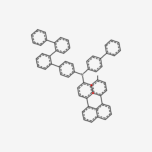 Cc1ccc(-c2cccc3cccc(-c4ccc(N(c5ccc(-c6ccccc6)cc5)c5ccc(-c6ccccc6-c6ccccc6-c6ccccc6)cc5)cc4)c23)cc1